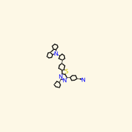 N#Cc1ccc(-c2nc(-c3ccccc3)nc3c2sc2cc(-c4cccc(-n5c6ccccc6c6ccccc65)c4)ccc23)cc1